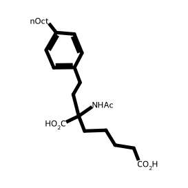 CCCCCCCCc1ccc(CCC(CCCCC(=O)O)(NC(C)=O)C(=O)O)cc1